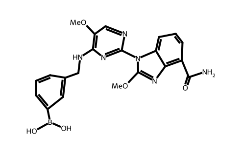 COc1cnc(-n2c(OC)nc3c(C(N)=O)cccc32)nc1NCc1cccc(B(O)O)c1